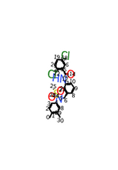 Cc1ccc(N(Cc2cccc(NC(=O)c3cc(Cl)ccc3Cl)c2)S(C)(=O)=O)cc1C